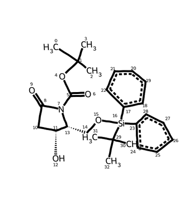 CC(C)(C)OC(=O)N1C(=O)C[C@@H](O)[C@H]1CO[Si](c1ccccc1)(c1ccccc1)C(C)(C)C